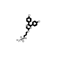 CS(=O)(=O)NCCCOc1cnc(-c2ccc(Cl)cc2)c(-c2ccc(Cl)cc2)n1